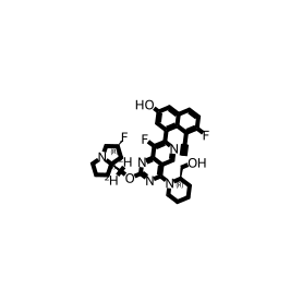 [2H]C([2H])(Oc1nc(N2CCCC[C@@H]2CO)c2cnc(-c3cc(O)cc4ccc(F)c(C#C)c34)c(F)c2n1)[C@@]12CCCN1C[C@H](F)C2